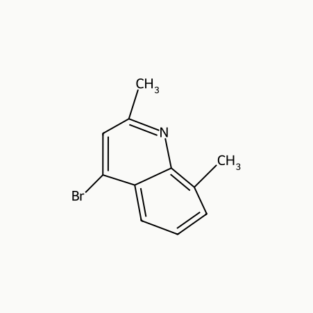 Cc1cc(Br)c2cccc(C)c2n1